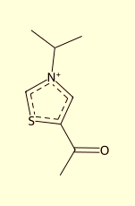 CC(=O)c1c[n+](C(C)C)cs1